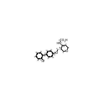 O=C(O)N[C@H]1CCOC[C@@H]1COc1ccc(-c2ccccc2F)cc1